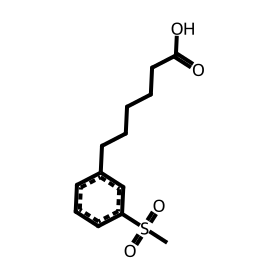 CS(=O)(=O)c1cccc(CCCCCC(=O)O)c1